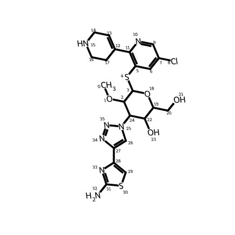 COC1C(Sc2cc(Cl)cnc2C2=CCNCC2)OC(CO)C(O)C1n1cc(-c2csc(N)n2)nn1